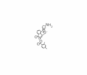 Cc1ccc(C(=O)OCn2cc(C)c3c([S+]([O-])N4CC[C@H](N)C4)cccc3c2=O)c(C)c1